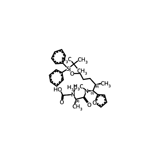 C[C@H](CCCO[Si](c1ccccc1)(c1ccccc1)C(C)(C)C)[C@@H](c1ccco1)N(C)C(=O)[C@@H](C)N(C)C(=O)O